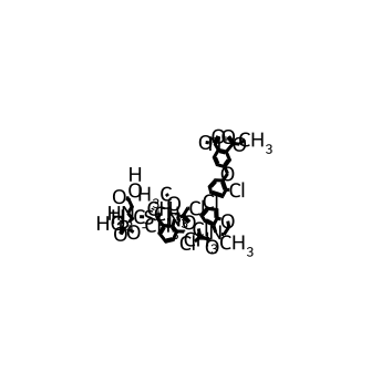 CC1COc2ccccc2N1C(=O)C(Cl)Cl.CCc1cccc(CC)c1N(COC)C(=O)CCl.COC(=O)c1cc(Oc2ccc(Cl)cc2Cl)ccc1[N+](=O)[O-].C[S+](C)C.O=C(O)CNCP(=O)([O-])O